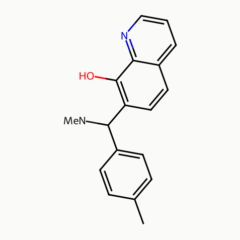 CNC(c1ccc(C)cc1)c1ccc2cccnc2c1O